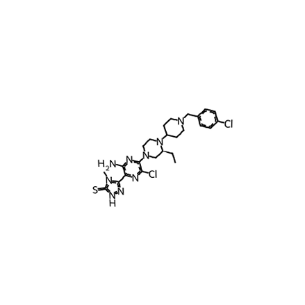 CC[C@H]1CN(c2nc(N)c(-c3n[nH]c(=S)n3C)nc2Cl)CCN1C1CCN(Cc2ccc(Cl)cc2)CC1